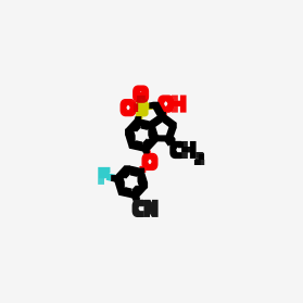 C=C1CC2(O)CS(=O)(=O)c3ccc(Oc4cc(F)cc(C#N)c4)c1c32